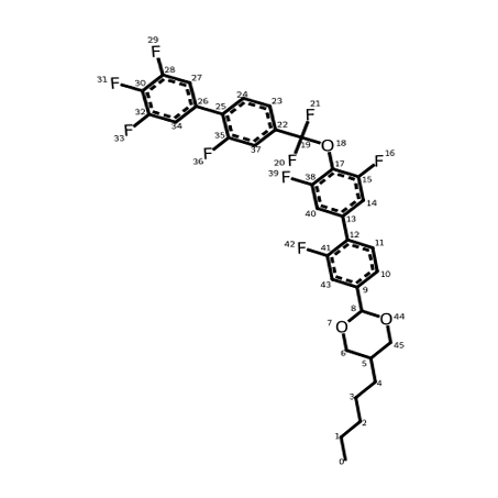 CCCCCC1COC(c2ccc(-c3cc(F)c(OC(F)(F)c4ccc(-c5cc(F)c(F)c(F)c5)c(F)c4)c(F)c3)c(F)c2)OC1